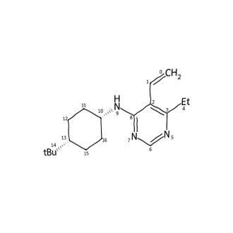 C=Cc1c(CC)ncnc1N[C@H]1CC[C@@H](C(C)(C)C)CC1